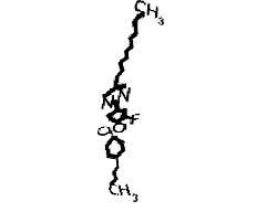 CCCCCCCCCCCc1cnc(-c2ccc(OC(=O)[C@H]3CC[C@H](CCCCC)CC3)c(F)c2)nc1